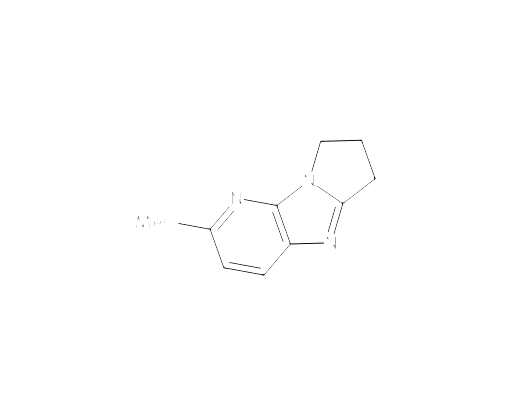 COc1ccc2nc3n(c2n1)CCC3